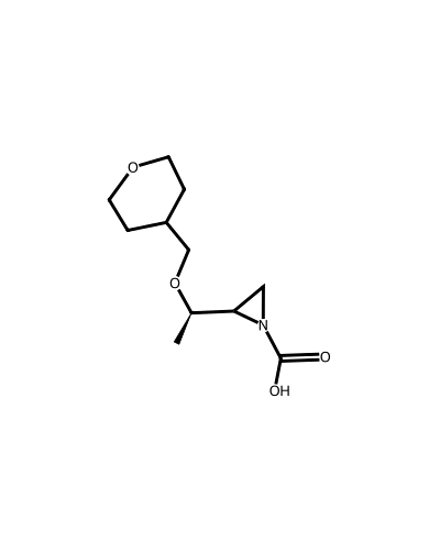 C[C@@H](OCC1CCOCC1)C1CN1C(=O)O